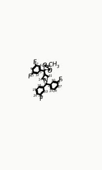 CS(=O)(=O)C(c1cc(F)cc(F)c1)C1CN(C(c2cccc(F)c2)c2cccc(F)c2)C1